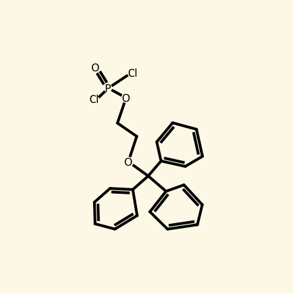 O=P(Cl)(Cl)OCCOC(c1ccccc1)(c1ccccc1)c1ccccc1